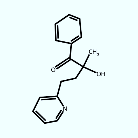 CC(O)(CCc1ccccn1)C(=O)c1ccccc1